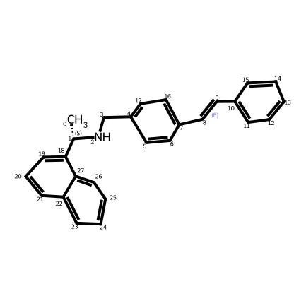 C[C@H](NCc1ccc(/C=C/c2ccccc2)cc1)c1cccc2ccccc12